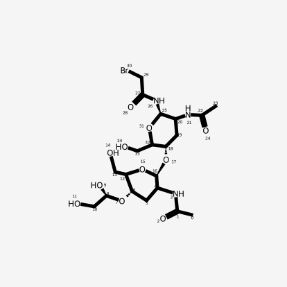 CC(=O)NC1C[C@H](O[C@H](O)CO)C(CO)O[C@H]1O[C@H]1CC(NC(C)=O)[C@H](NC(=O)CBr)OC1CO